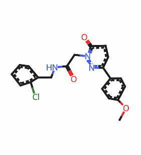 COc1ccc(-c2ccc(=O)n(CC(=O)NCc3ccccc3Cl)n2)cc1